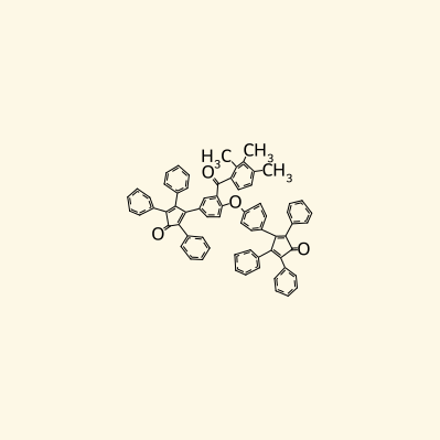 Cc1ccc(C(=O)c2cc(C3=C(c4ccccc4)C(=O)C(c4ccccc4)=C3c3ccccc3)ccc2Oc2ccc(C3=C(c4ccccc4)C(=O)C(c4ccccc4)=C3c3ccccc3)cc2)c(C)c1C